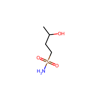 CC(O)CCS(N)(=O)=O